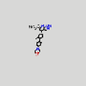 Cc1cc(-c2cc(C(=O)O)nc3[nH]ncc23)ccc1-c1ccc(N2CCOCC2)cc1